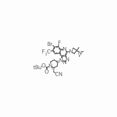 CN(C)C1(C)CN(c2nc3c(F)c(Br)c(C(F)(F)F)cc3c3c2nnn3[C@H]2CCN(C(=O)OC(C)(C)C)[C@H](CC#N)C2)C1